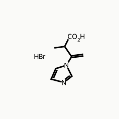 Br.C=C(C(C)C(=O)O)n1ccnc1